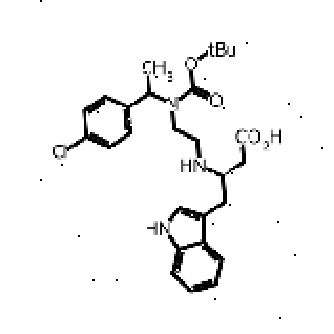 CC(c1ccc(Cl)cc1)N(CCN[C@@H](CC(=O)O)Cc1c[nH]c2ccccc12)C(=O)OC(C)(C)C